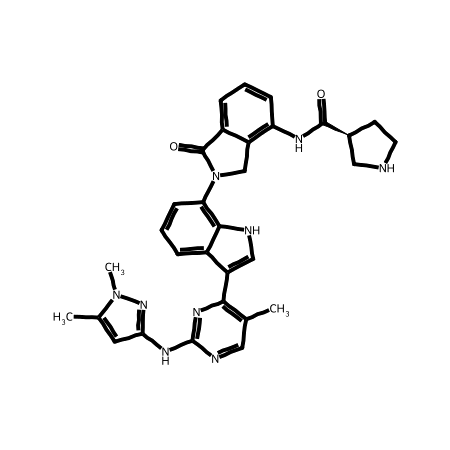 Cc1cnc(Nc2cc(C)n(C)n2)nc1-c1c[nH]c2c(N3Cc4c(NC(=O)[C@H]5CCNC5)cccc4C3=O)cccc12